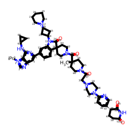 CC(C)n1cnc2cc(-c3ccc4c(c3)N(C3CC(N5CCCCC5)C3)C(=O)C43CCN(C(=O)C4(C)CCN(C(=O)CN5CCN(c6ccc([C@H]7CCC(=O)NC7=O)cn6)CC5)CC4)CC3)nc(NC3CC3)c21